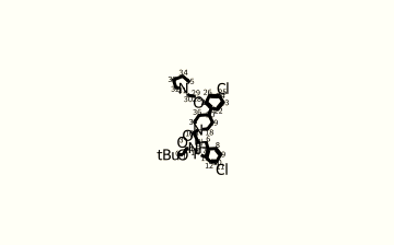 CC(C)(C)OC(=O)N[C@H](Cc1ccc(Cl)cc1F)C(=O)N1CCC(c2ccc(Cl)cc2OCCN2CCCC2)CC1